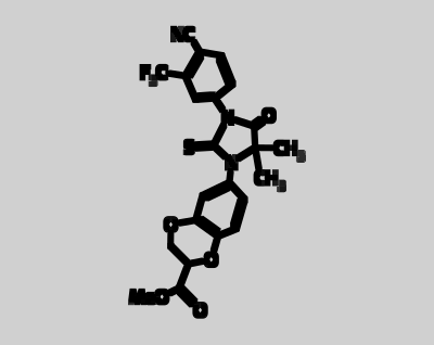 COC(=O)C1COc2cc(N3C(=S)N(c4ccc(C#N)c(C(F)(F)F)c4)C(=O)C3(C)C)ccc2O1